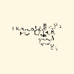 C=CC(=O)N1CC(Oc2cc3c(Nc4ccc(Oc5cc[nH]/c(=N\C=N)c5)cc4C(C)(C)O)ncnc3cc2OC)C1